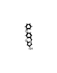 O=C1C[C@@H](S)CN1Cc1ccc(Oc2ccccc2)cc1